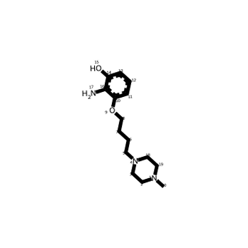 CN1CCN(CCCCOc2cccc(O)c2N)CC1